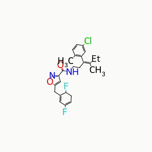 CC/C(C)=C(/CCNC(=O)c1cc(CC2=CC(F)=CCC2F)on1)c1cc(Cl)ccc1C